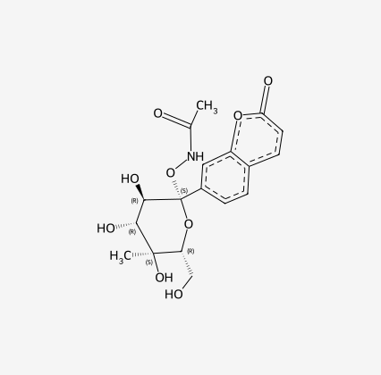 CC(=O)NO[C@]1(c2ccc3ccc(=O)oc3c2)O[C@H](CO)[C@@](C)(O)[C@H](O)[C@H]1O